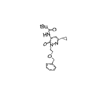 CC(C)(C)C(=O)Nc1cc(C2CC2)nn(CCOCc2ccccc2)c1=O